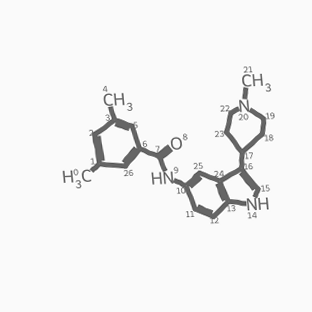 Cc1cc(C)cc(C(=O)Nc2ccc3[nH]cc(C4CCN(C)CC4)c3c2)c1